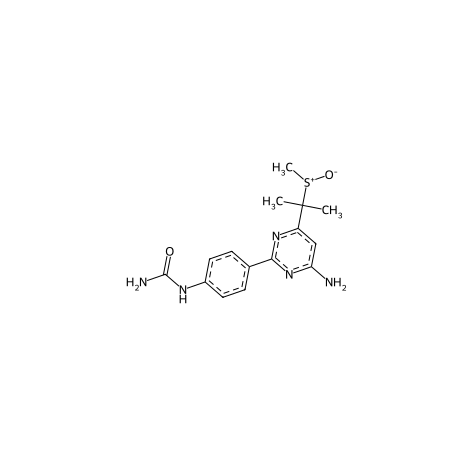 C[S+]([O-])C(C)(C)c1cc(N)nc(-c2ccc(NC(N)=O)cc2)n1